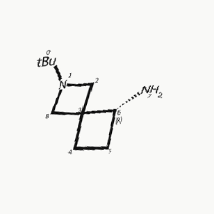 CC(C)(C)N1CC2(CC[C@H]2N)C1